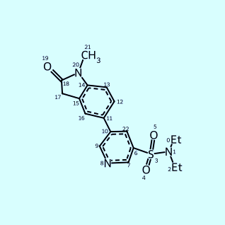 CCN(CC)S(=O)(=O)c1cncc(-c2ccc3c(c2)CC(=O)N3C)c1